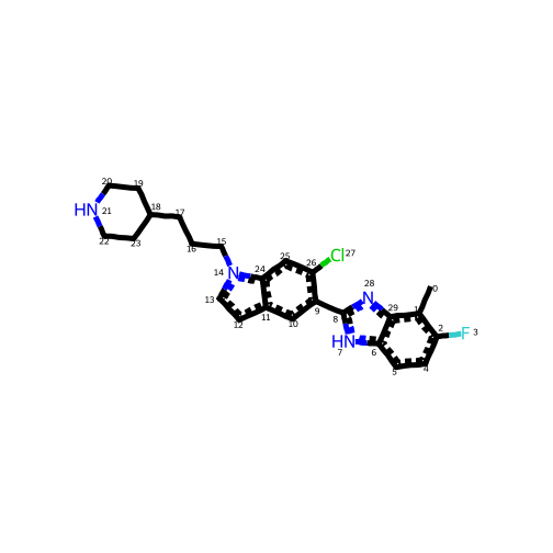 Cc1c(F)ccc2[nH]c(-c3cc4ccn(CCCC5CCNCC5)c4cc3Cl)nc12